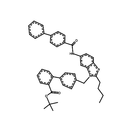 CCCCc1nc2ccc(NC(=O)c3ccc(-c4ccccc4)cc3)cc2n1Cc1ccc(-c2ccccc2C(=O)OC(C)(C)C)cc1